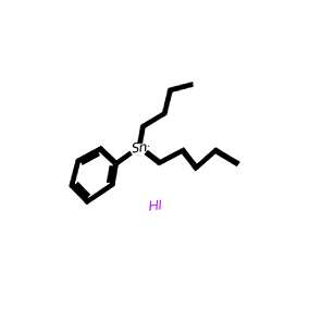 CCCC[CH2][Sn]([CH2]CCC)[c]1ccccc1.I